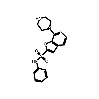 O=S(=O)(Nc1ccccc1)c1cc2ccnc(N3CCNCC3)c2o1